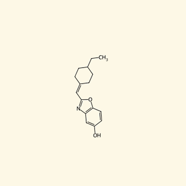 CCC1CCC(=Cc2nc3cc(O)ccc3o2)CC1